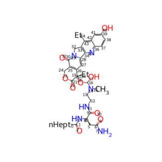 CCCCCCCC(=O)N[C@H](CC(N)=O)C(=O)NCCN(C)C(O)O[C@]1(CC)C(=O)OCc2c1cc1n(c2=O)Cc2c-1nc1ccc(O)cc1c2CC